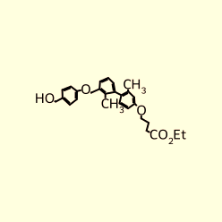 CCOC(=O)CCCOc1ccc(-c2cccc(COc3ccc(CO)cc3)c2C)c(C)c1